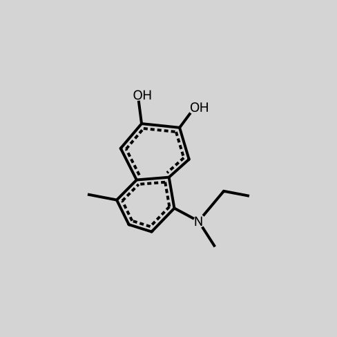 CCN(C)c1ccc(C)c2cc(O)c(O)cc12